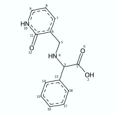 O=C(O)C(NCc1ccc[nH]c1=O)c1ccccc1